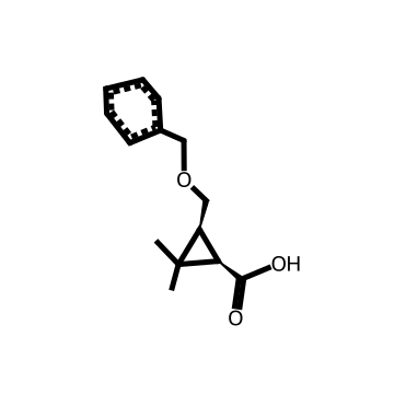 CC1(C)[C@H](C(=O)O)[C@@H]1COCc1ccccc1